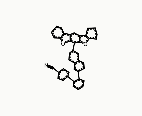 N#Cc1ccc(-c2ccccc2-c2ccc3cc(-c4c5oc6ccccc6c5cc5c4oc4ccccc45)ccc3c2)cc1